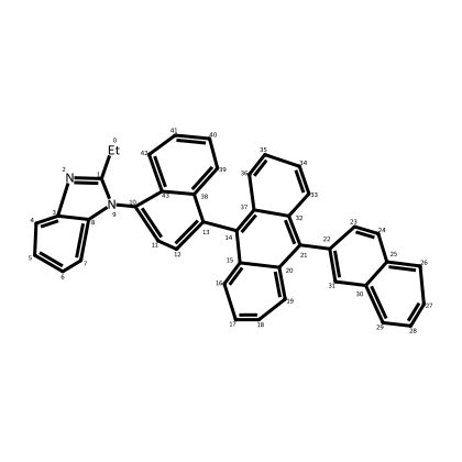 CCc1nc2ccccc2n1-c1ccc(-c2c3ccccc3c(-c3ccc4ccccc4c3)c3ccccc23)c2ccccc12